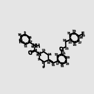 CC1CN(C(=O)Nc2cccnc2)CC/C1=C\c1cccc(OCCc2ccc(F)cc2)c1